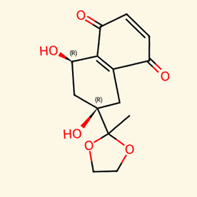 CC1([C@@]2(O)CC3=C(C(=O)C=CC3=O)[C@H](O)C2)OCCO1